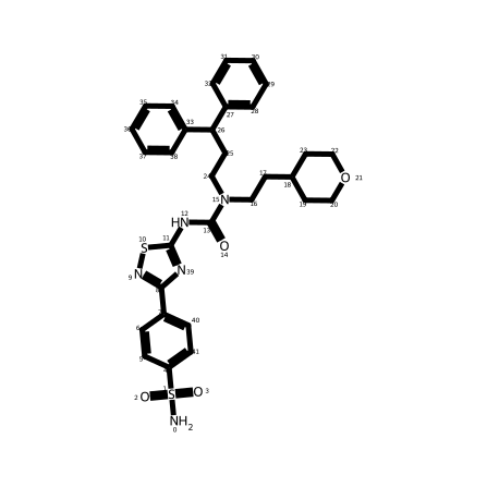 NS(=O)(=O)c1ccc(-c2nsc(NC(=O)N(CCC3CCOCC3)CCC(c3ccccc3)c3ccccc3)n2)cc1